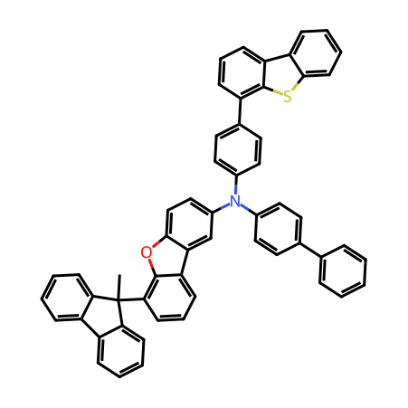 CC1(c2cccc3c2oc2ccc(N(c4ccc(-c5ccccc5)cc4)c4ccc(-c5cccc6c5sc5ccccc56)cc4)cc23)c2ccccc2-c2ccccc21